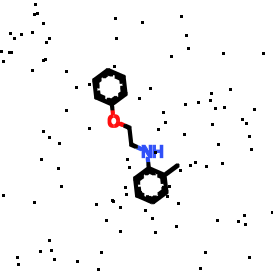 Cc1ccccc1NCCOc1ccccc1